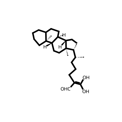 C[C@H](CCCC(C=O)=C(O)O)[C@H]1CC[C@H]2[C@@H]3CCC4CCCC[C@]4(C)[C@H]3CC[C@]12C